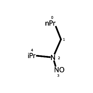 CCCCN(N=O)C(C)C